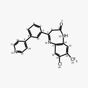 O=C1CC(c2cccc(-c3ccncc3)c2)=Nc2cc(Cl)c(C(F)(F)F)cc2N1